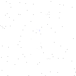 COCCNC(=O)C(C)OC(=O)COC